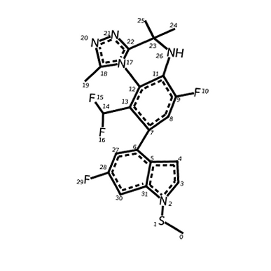 CSn1ccc2c(-c3cc(F)c4c(c3C(F)F)-n3c(C)nnc3C(C)(C)N4)cc(F)cc21